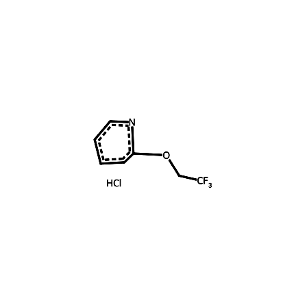 Cl.FC(F)(F)COc1ccccn1